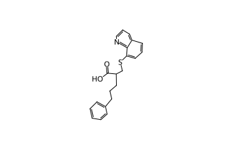 O=C(O)C(CCCc1ccccc1)CSc1cccc2cccnc12